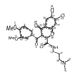 COc1ccc(C(=O)c2c(C(=O)NCCCN(C)C)oc3cc(Cl)c(Cl)cc3c2=O)cc1OC